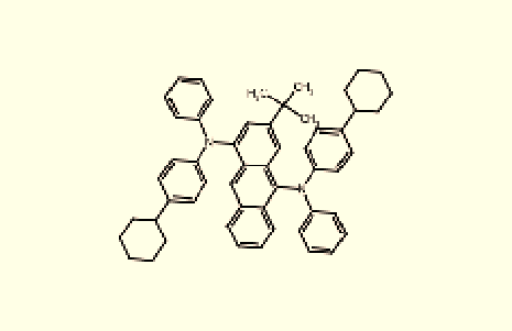 CC(C)(C)c1cc(N(c2ccccc2)c2ccc(C3CCCCC3)cc2)c2cc3ccccc3c(N(c3ccccc3)c3ccc(C4CCCCC4)cc3)c2c1